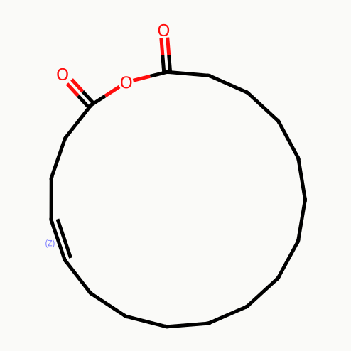 O=C1CC/C=C\CCCCCCCCCCCCC(=O)O1